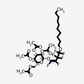 CCCCCCCCCCOC(F)(F)C(F)(F)/C(F)=C(/F)O[C@@H]1O[C@H](COC(C)=O)[C@H](OC(C)=O)[C@H](OC(C)=O)[C@H]1OC(C)=O